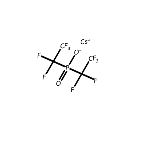 O=P([O-])(C(F)(F)C(F)(F)F)C(F)(F)C(F)(F)F.[Cs+]